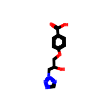 O=C(O)c1ccc(OCC(O)Cn2ncnn2)cc1